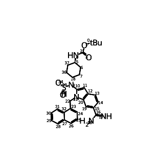 CC(C)(C)OC(=O)N[C@H]1CC[C@H](N(c2cc3ccc(C(=N)N)cc3n2Cc2cccc3ccccc23)[SH](=O)=O)CC1